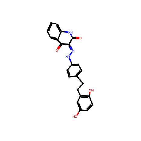 O=C1Nc2ccccc2C(=O)C1=NNc1ccc(CCc2cc(O)ccc2O)cc1